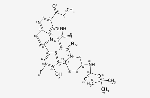 CCC(=O)c1cnc2ccc(-c3cc(F)c(O)c(Cl)c3)nc2c1Nc1ccc(N2CCC[C@@H](NC(=O)OC(C)(C)C)C2)nc1